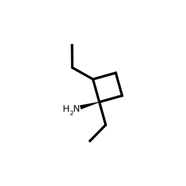 CCC1CC[C@]1(N)CC